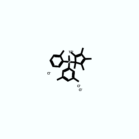 CC1=C(C)C(C)([Si](C)(c2cc(C)cc(C)c2)c2ccccc2C)[C]([Ti+3])=C1C.[Cl-].[Cl-].[Cl-]